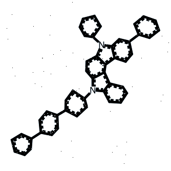 c1ccc(-c2ccc(-c3ccc(-n4c5ccccc5c5c6c7ccc(-c8ccccc8)cc7n(-c7ccccc7)c6ccc54)cc3)cc2)cc1